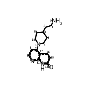 NCCC1CCN(c2ccnc3[nH]c(=O)ccc23)CC1